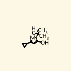 CC(C)(C)n1nc(C2CC2)cc1O